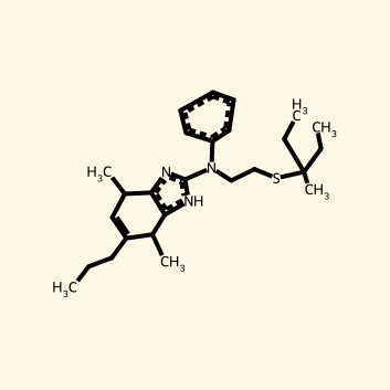 CCCC1=CC(C)c2nc(N(CCSC(C)(CC)CC)c3ccccc3)[nH]c2C1C